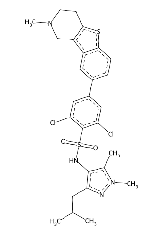 Cc1c(NS(=O)(=O)c2c(Cl)cc(-c3ccc4sc5c(c4c3)CN(C)CC5)cc2Cl)c(CC(C)C)nn1C